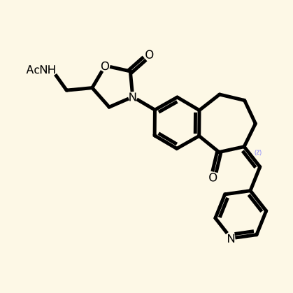 CC(=O)NCC1CN(c2ccc3c(c2)CCC/C(=C/c2ccncc2)C3=O)C(=O)O1